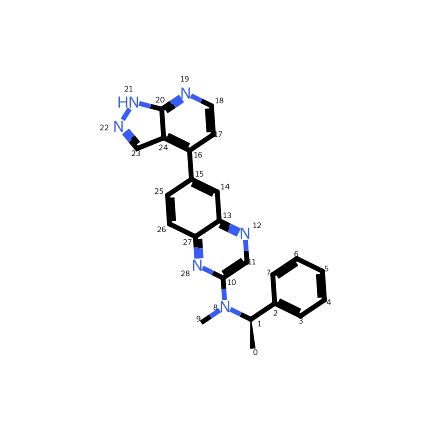 C[C@H](c1ccccc1)N(C)c1cnc2cc(-c3ccnc4[nH]ncc34)ccc2n1